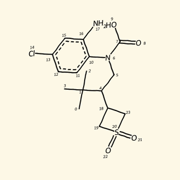 CC(C)(C)C(CN(C(=O)O)c1ccc(Cl)cc1N)C1CS(=O)(=O)C1